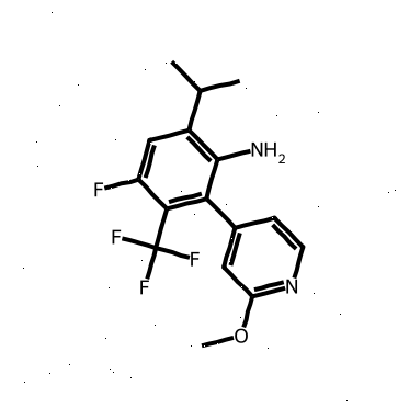 COc1cc(-c2c(N)c(C(C)C)cc(F)c2C(F)(F)F)ccn1